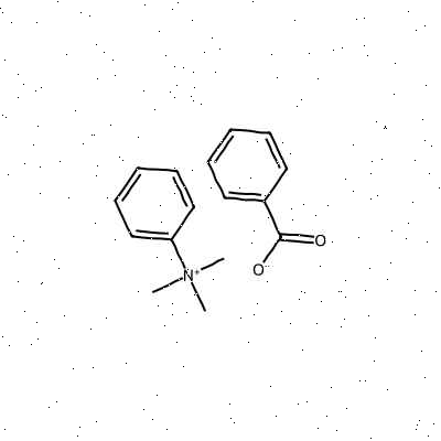 C[N+](C)(C)c1ccccc1.O=C([O-])c1ccccc1